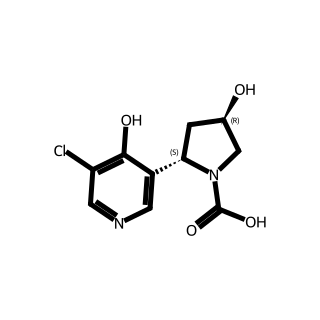 O=C(O)N1C[C@H](O)C[C@H]1c1cncc(Cl)c1O